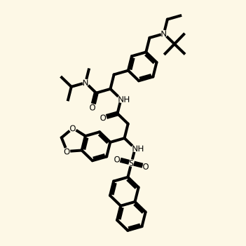 CCN(Cc1cccc(CC(NC(=O)CC(NS(=O)(=O)c2ccc3ccccc3c2)c2ccc3c(c2)OCO3)C(=O)N(C)C(C)C)c1)C(C)(C)C